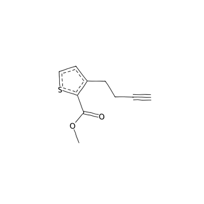 C#CCCc1ccsc1C(=O)OC